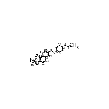 CCC[C@H]1CC[C@H](CCc2ccc3c(F)c(OC(F)(F)F)ccc3c2)CC1